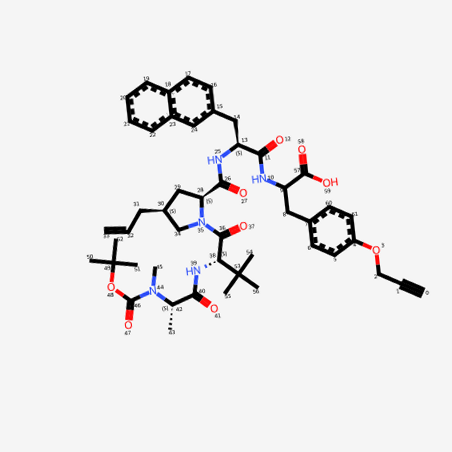 C#CCOc1ccc(CC(NC(=O)[C@H](Cc2ccc3ccccc3c2)NC(=O)[C@@H]2C[C@H](CC=C)CN2C(=O)[C@@H](NC(=O)[C@H](C)N(C)C(=O)OC(C)(C)C)C(C)(C)C)C(=O)O)cc1